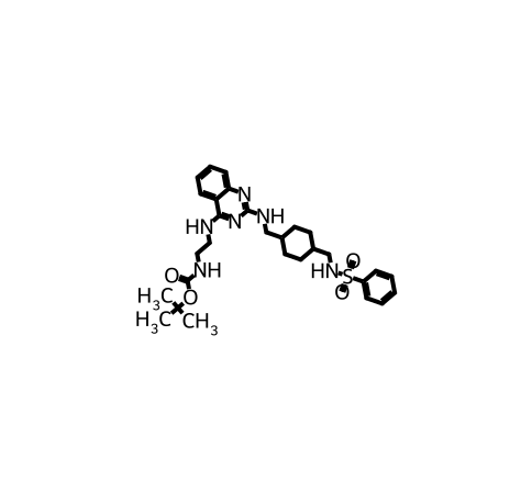 CC(C)(C)OC(=O)NCCNc1nc(NCC2CCC(CNS(=O)(=O)c3ccccc3)CC2)nc2ccccc12